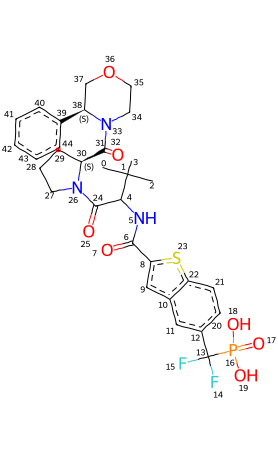 CC(C)(C)C(NC(=O)c1cc2cc(C(F)(F)P(=O)(O)O)ccc2s1)C(=O)N1CCC[C@H]1C(=O)N1CCOC[C@@H]1c1ccccc1